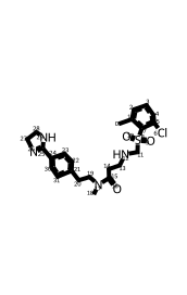 Cc1cccc(Cl)c1S(=O)(=O)CNCCC(=O)N(C)CCc1ccc(C2=NCCN2)cc1